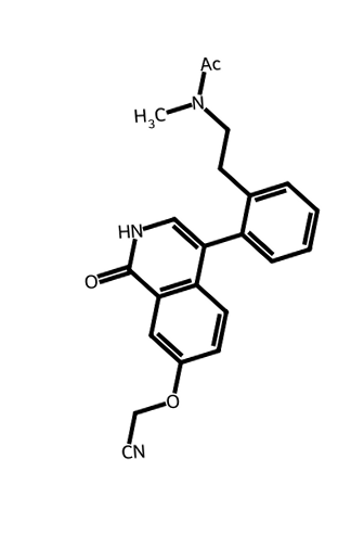 CC(=O)N(C)CCc1ccccc1-c1c[nH]c(=O)c2cc(OCC#N)ccc12